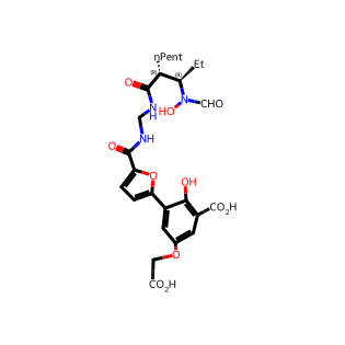 CCCCC[C@@H](C(=O)NCNC(=O)c1ccc(-c2cc(OCC(=O)O)cc(C(=O)O)c2O)o1)[C@@H](CC)N(O)C=O